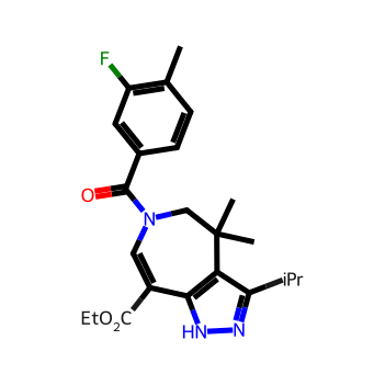 CCOC(=O)C1=CN(C(=O)c2ccc(C)c(F)c2)CC(C)(C)c2c(C(C)C)n[nH]c21